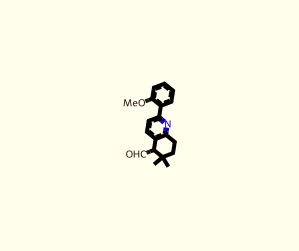 COc1ccccc1-c1ccc2c(n1)CCC(C)(C)C2C=O